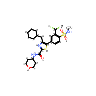 CC(C)(C)NS(=O)(=O)c1ccc(-c2sc(C(=O)NC3CCOCC3)nc2CC2CCCCC2)cc1C(F)F